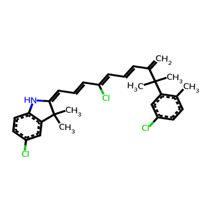 C=C(/C=C/C=C(Cl)/C=C/C=C1/Nc2ccc(Cl)cc2C1(C)C)C(C)(C)c1cc(Cl)ccc1C